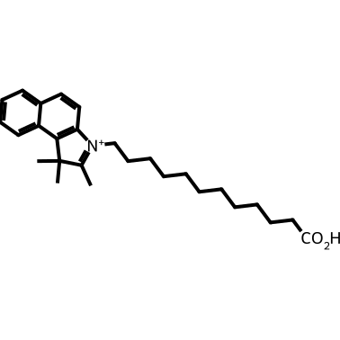 CC1=[N+](CCCCCCCCCCCC(=O)O)c2ccc3ccccc3c2C1(C)C